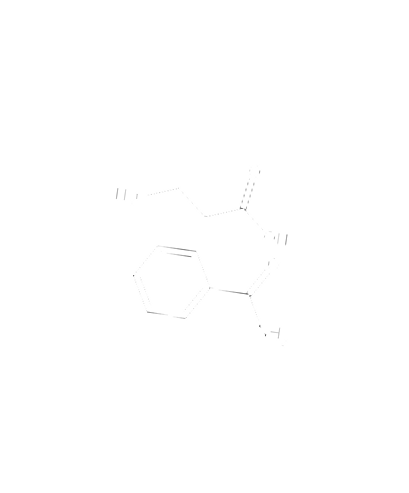 CCCC(=O)O.NC(=O)c1ccccc1